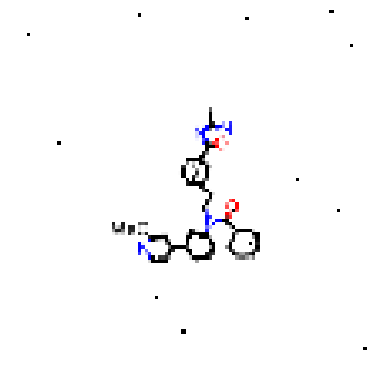 COc1cc(-c2cccc(N(CCC3CC4(c5nc(C)no5)CCC3CC4)C(=O)C3CCCCC3)c2)ccn1